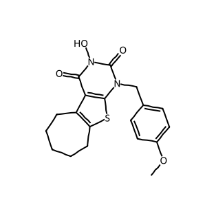 COc1ccc(Cn2c(=O)n(O)c(=O)c3c4c(sc32)CCCCC4)cc1